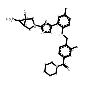 Cc1ccc(OCc2ccc(C(=O)N3CCCCC3)cc2C)c(-c2csc(N3CC4C(C(=O)O)[C@@H]4C3)n2)c1